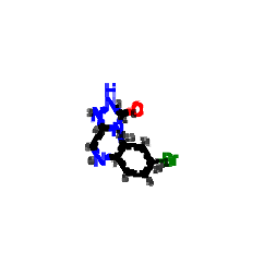 O=c1[nH]nc2cnc3ccc(Br)cc3n12